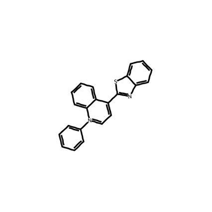 c1ccc(-[n+]2ccc(-c3nc4ccccc4s3)c3ccccc32)cc1